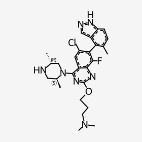 Cc1ccc2[nH]ncc2c1-c1c(Cl)cc2c(N3C[C@@H](C)NC[C@@H]3C)nc(OCCCN(C)C)nc2c1F